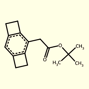 CC(C)(C)OC(=O)Cc1c2c(cc3c1CC3)CC2